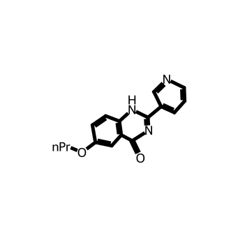 CCCOc1ccc2[nH]c(-c3cccnc3)nc(=O)c2c1